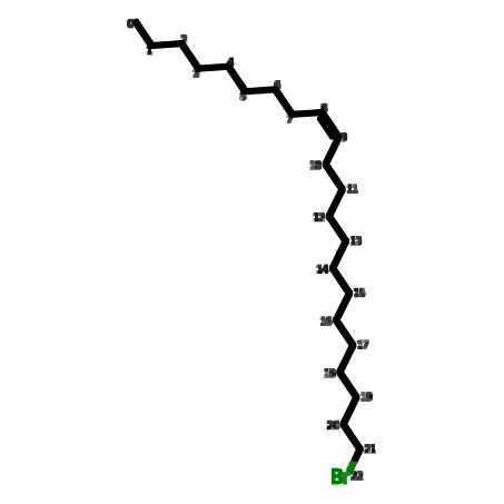 CCCCCCCC/C=C\CCCCCCCCCCCCBr